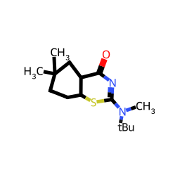 CN(C1=NC(=O)C2CC(C)(C)CCC2S1)C(C)(C)C